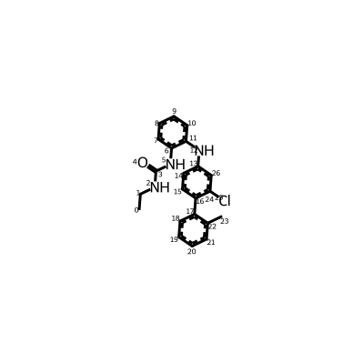 CCNC(=O)Nc1ccccc1Nc1ccc(-c2ccccc2C)c(Cl)c1